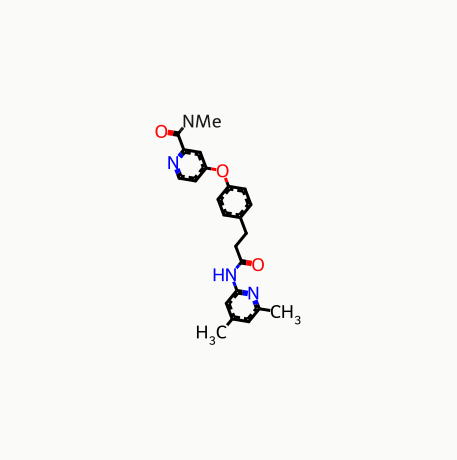 CNC(=O)c1cc(Oc2ccc(CCC(=O)Nc3cc(C)cc(C)n3)cc2)ccn1